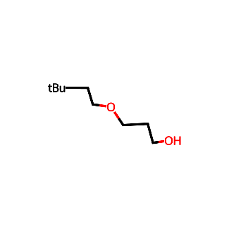 CC(C)(C)CCOCCCO